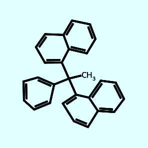 CC(c1ccccc1)(c1cccc2ccccc12)c1cccc2ccccc12